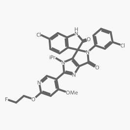 COc1cc(OCCF)ncc1-c1nc2c(n1C(C)C)C1(C(=O)Nc3cc(Cl)ccc31)N(c1cccc(Cl)c1)C2=O